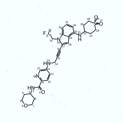 O=C(NC1CCOCC1)c1ccc(NCC#Cc2cc3c(NC4CCS(=O)(=O)CC4)cccc3n2CC(F)(F)F)cn1